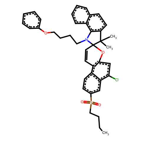 CCCCS(=O)(=O)c1ccc2c3c(cc(Cl)c2c1)OC1(C=C3)N(CCCCOc2ccccc2)c2c(ccc3ccccc23)C1(C)C